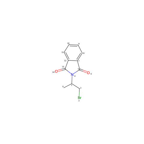 CC(CBr)N1C(=O)c2ccccc2C1=O